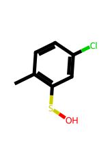 Cc1ccc(Cl)cc1SO